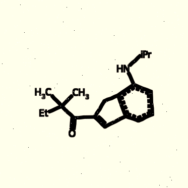 CCC(C)(C)C(=O)C1=Cc2cccc(NC(C)C)c2C1